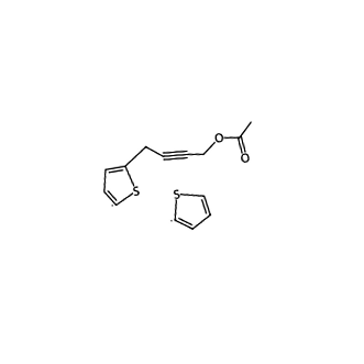 CC(=O)OCC#CCc1cc[c]s1.[c]1cccs1